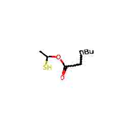 CCCCCC(=O)OC(C)S